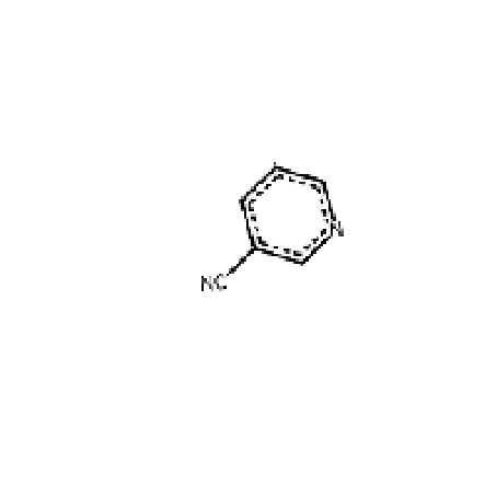 N#Cc1c[c]cnc1